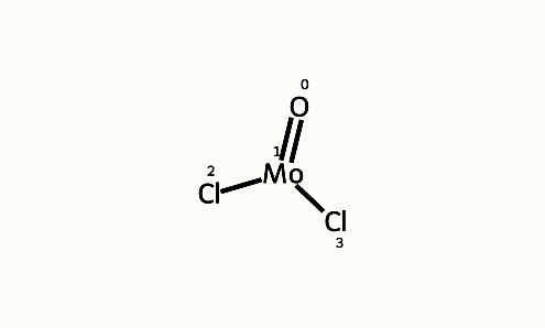 [O]=[Mo]([Cl])[Cl]